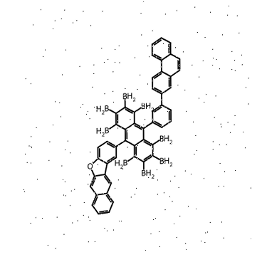 Bc1c(B)c(B)c2c(-c3ccc4oc5cc6ccccc6cc5c4c3)c3c(B)c(B)c(B)c(B)c3c(-c3cccc(-c4ccc5c(ccc6ccccc65)c4)c3)c2c1B